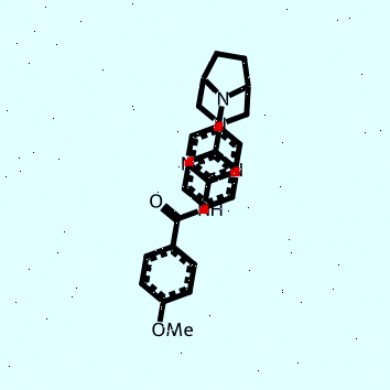 COc1ccc(C(=O)Nc2ccc(N3C4CCC3CN(c3ccccn3)C4)cn2)cc1